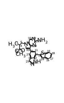 COC(=O)C(C)Cn1cc(-c2cc(-c3cc4ccccc4s3)c3[nH]ncc3c2)c2nc(N)ncc21